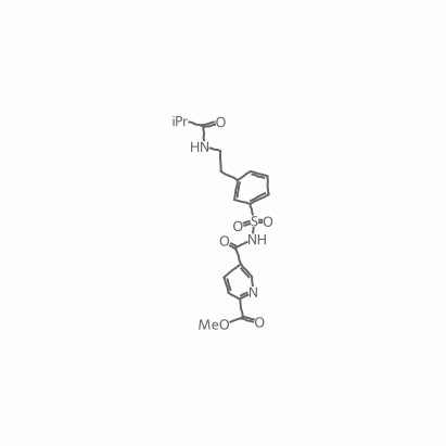 COC(=O)c1ccc(C(=O)NS(=O)(=O)c2cccc(CCNC(=O)C(C)C)c2)cn1